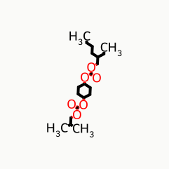 CCCCC(CC)COC(=O)OC1CCC(OC(=O)OCC(C)C)CC1